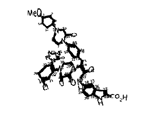 COC1CCC(N2CCN(c3ccc(CC(C(=O)Nc4ccc5[nH]c(C(=O)O)cc5c4)N4CCN(c5cc(Cl)ccc5-n5cnnn5)C(=O)C4=O)cc3)C(=O)C2)CC1